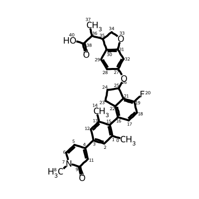 Cc1cc(-c2ccn(C)c(=O)c2)cc(C)c1-c1ccc(F)c2c1CCC2Oc1ccc2c(c1)OCC2C(C)C(=O)O